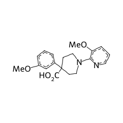 COc1cccc(C2(C(=O)O)CCN(c3ncccc3OC)CC2)c1